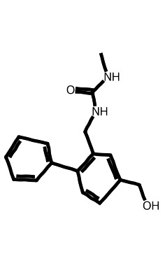 CNC(=O)NCc1cc(CO)ccc1-c1ccccc1